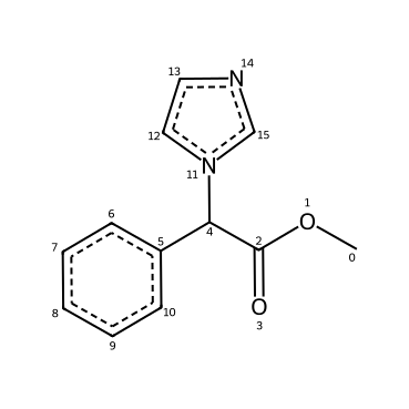 COC(=O)C(c1ccccc1)n1ccnc1